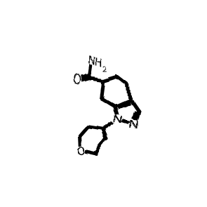 NC(=O)C1CCc2cnn(C3CCOCC3)c2C1